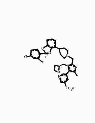 Cc1nc(CN2CCC(c3cccc4c3O[C@@](C)(c3ccc(Cl)cc3F)O4)CC2)n(C[C@@H]2CCO2)c1-c1cncc(C(=O)O)c1